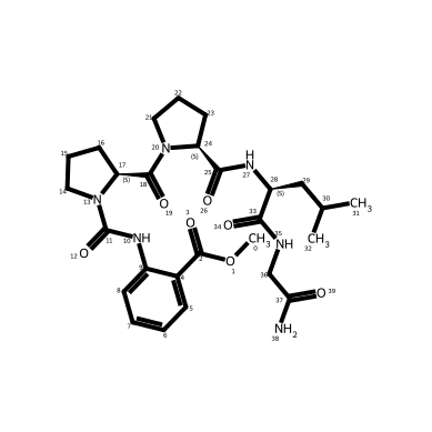 COC(=O)c1ccccc1NC(=O)N1CCC[C@H]1C(=O)N1CCC[C@H]1C(=O)N[C@@H](CC(C)C)C(=O)NCC(N)=O